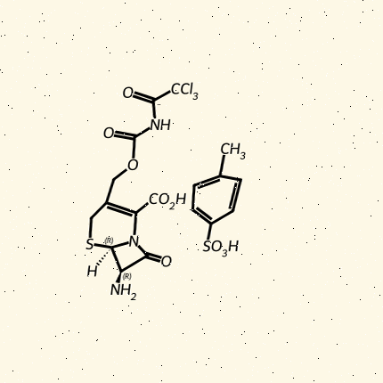 Cc1ccc(S(=O)(=O)O)cc1.N[C@@H]1C(=O)N2C(C(=O)O)=C(COC(=O)NC(=O)C(Cl)(Cl)Cl)CS[C@H]12